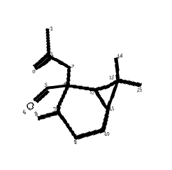 C=C(C)CC1(C=O)C(C)CCC2C1C2(C)C